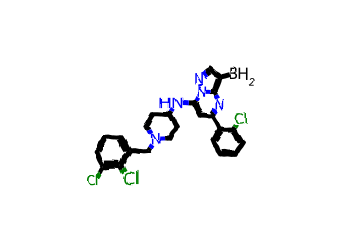 Bc1cnn2c(NC3CCN(Cc4cccc(Cl)c4Cl)CC3)cc(-c3ccccc3Cl)nc12